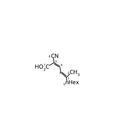 CCCCCCC(C)=CC=C(C#N)C(=O)O